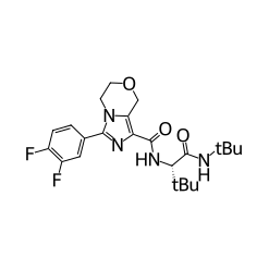 CC(C)(C)NC(=O)[C@@H](NC(=O)c1nc(-c2ccc(F)c(F)c2)n2c1COCC2)C(C)(C)C